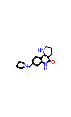 O=c1[nH]c2cc(Cn3cccc3)ccc2c2c1CCCN2